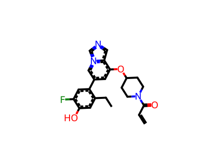 C=CC(=O)N1CCC(Oc2cc(-c3cc(F)c(O)cc3CC)cn3cncc23)CC1